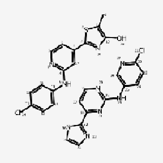 Cc1sc(-c2ccnc(Nc3ccc(Cl)cc3)c2)nc1O.Clc1ccc(Nc2nccc(-c3nccs3)n2)cn1